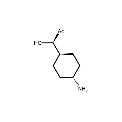 CC(=O)[C@H](O)[C@H]1CC[C@H](N)CC1